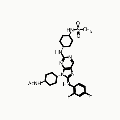 CC(=O)N[C@H]1CC[C@H](n2c(Nc3ccc(F)cc3F)nc3cnc(N[C@H]4CC[C@H](NS(C)(=O)=O)CC4)nc32)CC1